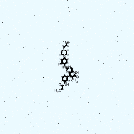 C=CC(=O)Nc1cccc(-c2c(C)c(=O)[nH]c3cnc(Nc4ccc(N5CCN(CCO)CC5)cc4F)nc23)c1